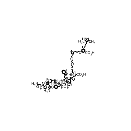 Cc1n[nH]c(C)c1CCCOc1cc(OCCCc2cn(CCOCCOCCOCCC(=O)NC(CCC(=O)O)C(=O)NC(Cc3c[nH]cn3)C(=O)NC(Cc3c[nH]c4ccccc34)C(=O)NC(CO)C(=O)NC(Cc3ccc(O)cc3)C(=O)NCC(=O)NC(CC(C)C)C(=O)NC(CCCN)C(=O)N3CCCC3C(=O)NCC(N)=O)nn2)cc(C(=O)O)c1